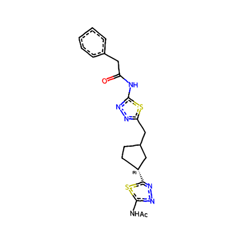 CC(=O)Nc1nnc([C@@H]2CCC(Cc3nnc(NC(=O)Cc4ccccc4)s3)C2)s1